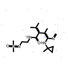 C=N/C(NC1(C)CC1)=C(\C)C(C(=O)NCCN=S(C)(C)=O)=C(C)C